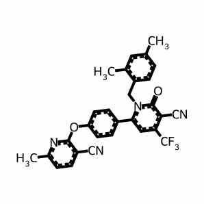 Cc1ccc(Cn2c(-c3ccc(Oc4nc(C)ccc4C#N)cc3)cc(C(F)(F)F)c(C#N)c2=O)c(C)c1